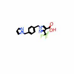 O=C(O)c1cn(Cc2ccc(Cn3cccn3)cc2)nc1C(F)(F)F